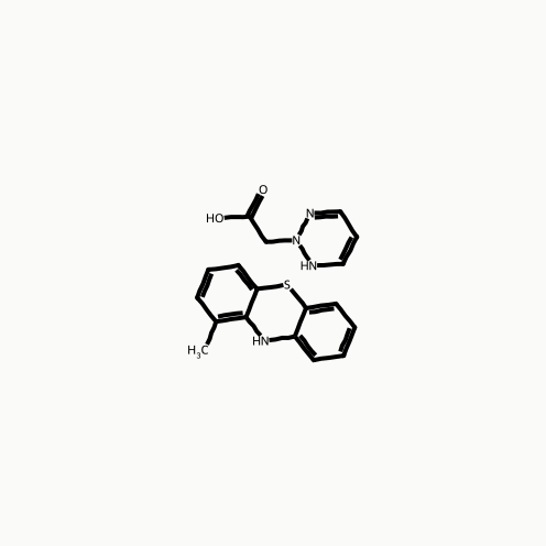 Cc1cccc2c1Nc1ccccc1S2.O=C(O)CN1N=CC=CN1